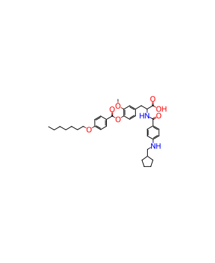 CCCCCCCOc1ccc(C(=O)Oc2ccc(CC(NC(=O)c3ccc(NCC4CCCC4)cc3)C(=O)O)cc2OC)cc1